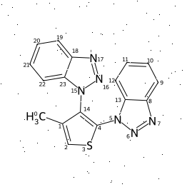 Cc1csc(-n2nnc3ccccc32)c1-n1nnc2ccccc21